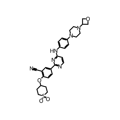 N#Cc1cc(-c2nccc(Nc3ccc(N4CCN(C5COC5)CC4)cc3)n2)ccc1OC1CCS(=O)(=O)CC1